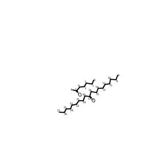 CCCCCC(C)=O.CCCCCCCCCC(=O)CCCCCCCCC